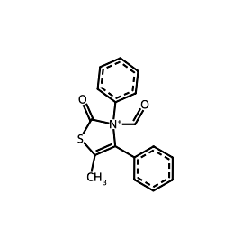 CC1=C(c2ccccc2)[N+](C=O)(c2ccccc2)C(=O)S1